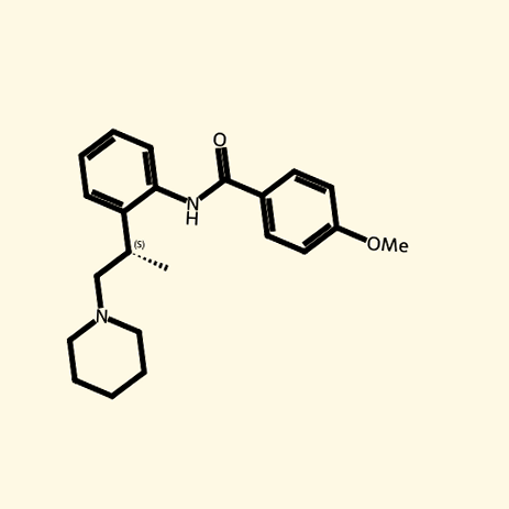 COc1ccc(C(=O)Nc2ccccc2[C@H](C)CN2CCCCC2)cc1